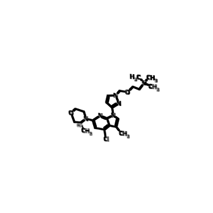 Cc1cn(-c2ccn(COCC[Si](C)(C)C)n2)c2nc(N3CCOC[C@H]3C)cc(Cl)c12